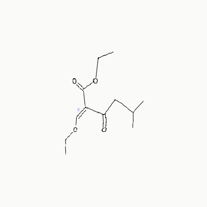 CCO/C=C(\C(=O)CC(C)C)C(=O)OCC